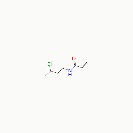 C=CC(=O)NCCC(C)Cl